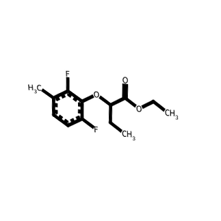 CCOC(=O)C(CC)Oc1c(F)ccc(C)c1F